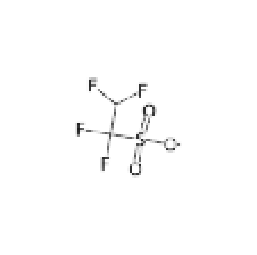 [O]S(=O)(=O)C(F)(F)C(F)F